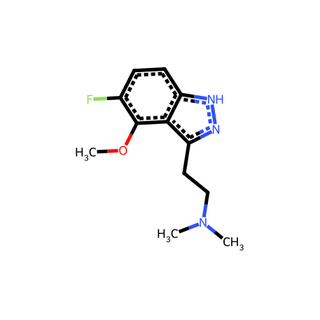 COc1c(F)ccc2[nH]nc(CCN(C)C)c12